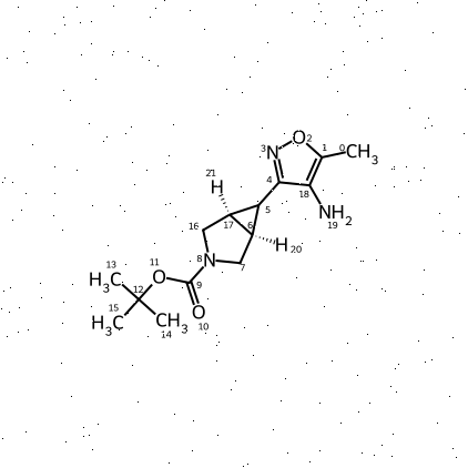 Cc1onc(C2[C@H]3CN(C(=O)OC(C)(C)C)C[C@@H]23)c1N